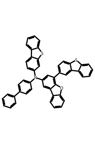 c1ccc(-c2ccc(N(c3ccc4c(c3)sc3ccccc34)c3cc(-c4ccc5sc6ccccc6c5c4)c4oc5ccccc5c4c3)cc2)cc1